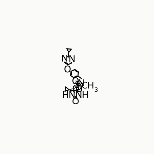 CN(Cc1ccc(Oc2cnc(C3CC3)nc2)cc1)S(=O)(=O)C[C@]1(C2CC2)NC(=O)NC1=O